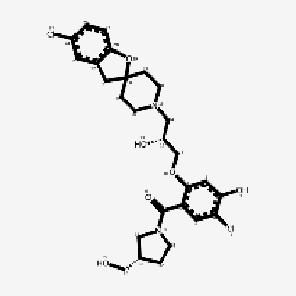 O=C(c1cc(Cl)c(O)cc1OC[C@H](O)CN1CCC2(CC1)Cc1cc(Cl)ccc1O2)N1CC[C@H](CO)C1